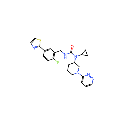 O=C(NCc1cc(-c2nccs2)ccc1F)N(C1CC1)[C@@H]1CCCN(c2cccnn2)C1